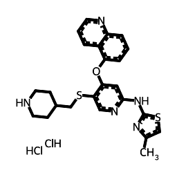 Cc1csc(Nc2cc(Oc3cccc4ncccc34)c(SCC3CCNCC3)cn2)n1.Cl.Cl